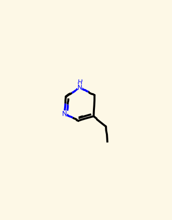 CCC1=CN=CNC1